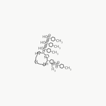 Cc1cc(-c2c3nc(cc4ccc(cc5nc(cc6ccc2[nH]6)C=C5)[nH]4)C=C3)ccn1.Cc1ccc(S(=O)(=O)O)cc1.Cc1ccc(S(=O)(=O)O)cc1.Cc1ccc(S(=O)(=O)O)cc1.Cc1ccc(S(=O)(=O)O)cc1